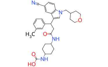 Cc1cccc(C(CC(=O)NC2CCC(NC(=O)O)CC2)c2cn(CC3CCOCC3)c3ccc(C#N)cc23)c1